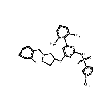 Cc1cccc(C)c1-c1cc(OC2CCN(Cc3ccccc3Cl)C2)nc(NS(=O)(=O)c2cnn(C)c2)n1